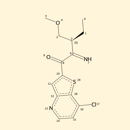 CC[C@H](COC)C(=N)C(=O)c1cc2nccc(Cl)c2s1